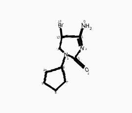 NC1=NC(=O)N(C2CCCC2)CC1Br